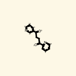 O=C(CCC(=O)c1ccccn1)c1cccnc1